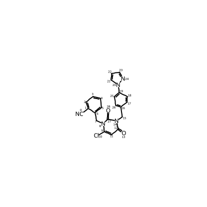 N#Cc1ccccc1Cn1c(Cl)cc(=O)n(Cc2ccc(-n3cccn3)cc2)c1=O